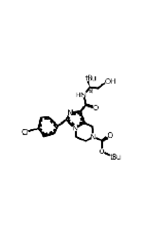 CC(C)(C)OC(=O)N1CCn2c(-c3ccc(Cl)cc3)nc(C(=O)N[C@H](CO)C(C)(C)C)c2C1